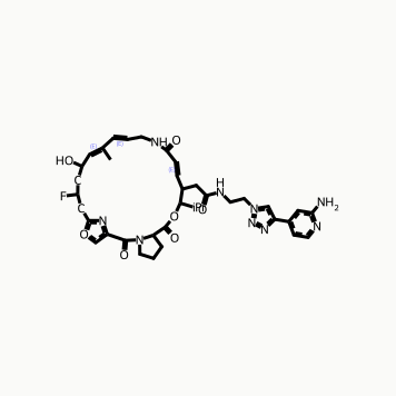 CC1=C\C(O)CC(F)Cc2nc(co2)C(=O)N2CCCC2C(=O)OC(C(C)C)C(CC(=O)NCCn2cc(-c3ccnc(N)c3)nn2)/C=C/C(=O)NC\C=C\1